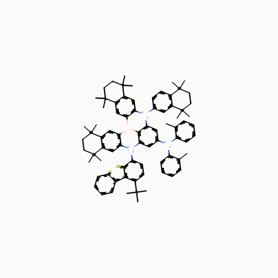 Cc1ccccc1N(c1cc2c3c(c1)N(c1ccc(C(C)(C)C)c4c1sc1ccccc14)c1cc4c(cc1B3c1cc3c(cc1N2c1ccc2c(c1)C(C)(C)CCC2(C)C)C(C)(C)CCC3(C)C)C(C)(C)CCC4(C)C)c1ccccc1C